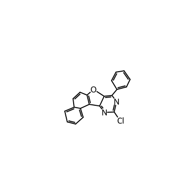 Clc1nc(-c2ccccc2)c2oc3ccc4ccccc4c3c2n1